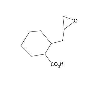 O=C(O)C1CCCCC1CC1CO1